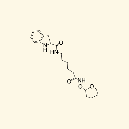 O=C(CCCCCNC(=O)C1Cc2ccccc2N1)NOC1CCCCO1